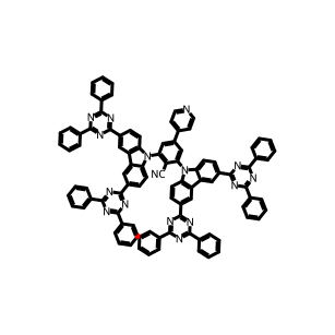 N#Cc1c(-n2c3ccc(-c4nc(-c5ccccc5)nc(-c5ccccc5)n4)cc3c3cc(-c4nc(-c5ccccc5)nc(-c5ccccc5)n4)ccc32)cc(-c2ccncc2)cc1-n1c2ccc(-c3nc(-c4ccccc4)nc(-c4ccccc4)n3)cc2c2cc(-c3nc(-c4ccccc4)nc(-c4ccccc4)n3)ccc21